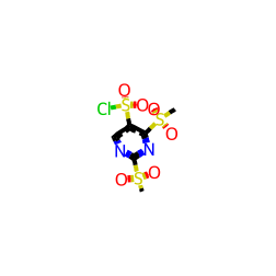 CS(=O)(=O)c1ncc(S(=O)(=O)Cl)c(S(C)(=O)=O)n1